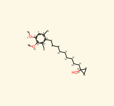 COc1cc(C)c(CCCCCCCCCC2(O)CC2)c(C)c1OC